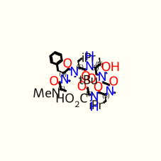 CN[C@@H](C)C(=O)N(C)[C@@H](Cc1ccccc1)C(=O)N(C)[C@@H](CC(C)C)C(=O)N[C@H](C(=O)N(C)CC(=O)N(C)[C@@H](CC(C)C)C(=O)N[C@@H](COC(C)(C)C)C(=O)O)[C@@H](C)O